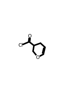 O=C(Cl)C1CC=COC1